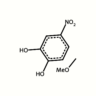 COC.O=[N+]([O-])c1ccc(O)c(O)c1